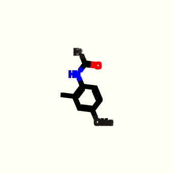 CCC(=O)Nc1ccc(OC)cc1C